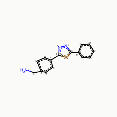 NCc1ccc(-c2nnc(-c3ccccc3)s2)cc1